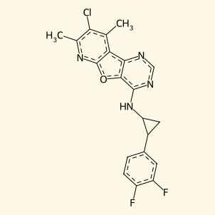 Cc1nc2oc3c(NC4CC4c4ccc(F)c(F)c4)ncnc3c2c(C)c1Cl